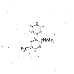 CNc1ccc(C(F)(F)F)cc1-c1ccccc1